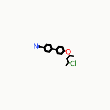 CC(Cl)CC(C)Oc1ccc(-c2ccc(C#N)cc2)cc1